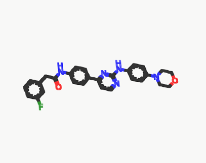 O=C(Cc1cccc(F)c1)Nc1ccc(-c2ccnc(Nc3ccc(N4CCOCC4)cc3)n2)cc1